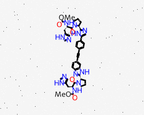 COC(=O)N[C@@H](Cc1cnc[nH]1)C(=O)N1CCC[C@H]1c1ncc(-c2ccc(C#Cc3ccc4nc([C@@H]5CCCN5C(=O)[C@H](Cc5cnc[nH]5)NC(=O)OC)[nH]c4c3)cc2)[nH]1